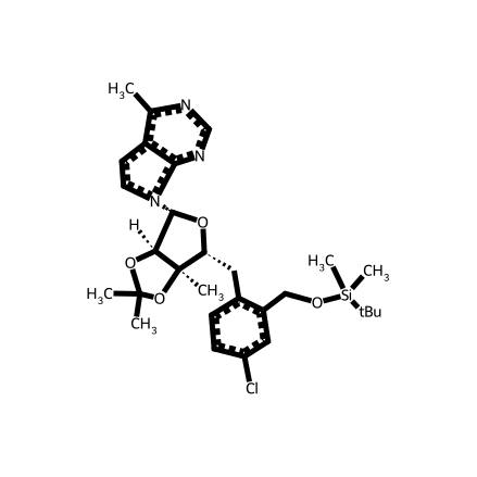 Cc1ncnc2c1ccn2[C@@H]1O[C@H](Cc2ccc(Cl)cc2CO[Si](C)(C)C(C)(C)C)[C@@]2(C)OC(C)(C)O[C@@H]12